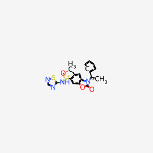 Cc1cc2c(cc1[S+]([O-])Nc1ncns1)oc(=O)n2[C@H](C)c1ccccc1